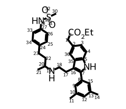 CCOC(=O)Cc1ccc2[nH]c(-c3cc(C)cc(C)c3)c(CCNC(C)CCc3ccc(NS(C)(=O)=O)cc3)c2c1